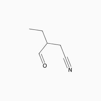 CCC(C=O)CC#N